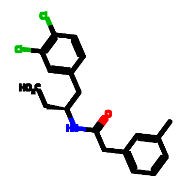 Cc1cccc(CC(=O)N[C@H](CC(=O)O)Cc2ccc(Cl)c(Cl)c2)c1